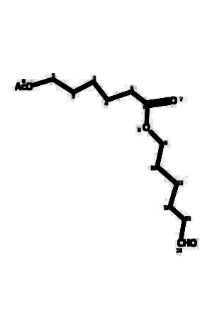 CC(=O)OCCCCCC(=O)OCCCCCC=O